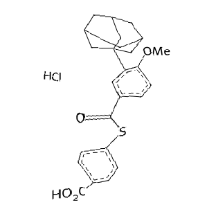 COc1ccc(C(=O)Sc2ccc(C(=O)O)cc2)cc1C12CC3CC(CC(C3)C1)C2.Cl